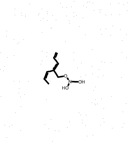 C=C/C=C(\C=C/C)CON(O)O